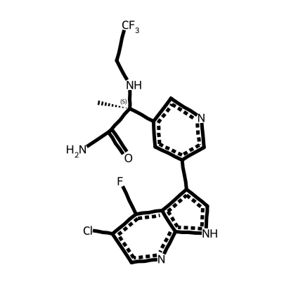 C[C@@](NCC(F)(F)F)(C(N)=O)c1cncc(-c2c[nH]c3ncc(Cl)c(F)c23)c1